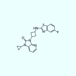 O=c1n(C2CC2)c2cccnc2n1C1CC(Nc2nc3cc(F)ccc3s2)C1